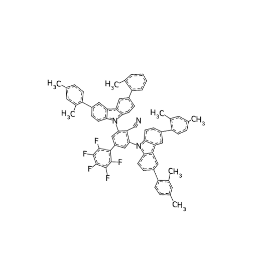 Cc1ccc(-c2ccc3c(c2)c2cc(-c4ccccc4C)ccc2n3-c2cc(-c3c(F)c(F)c(F)c(F)c3F)cc(-n3c4ccc(-c5ccc(C)cc5C)cc4c4cc(-c5ccc(C)cc5C)ccc43)c2C#N)c(C)c1